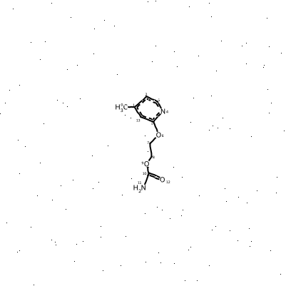 Cc1ccnc(OCCOC(N)=O)c1